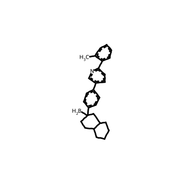 BC1(c2ccc(-c3ccc(-c4ccccc4C)nc3)cc2)CCC2CCCCC2C1